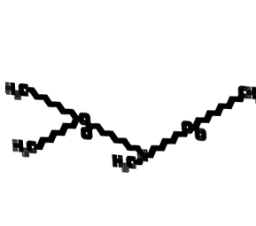 CCCCCCCCCC(=O)OCCCCCCCN(CC)CCCCCCCC(=O)OC(CCCCCCCC)CCCCCCCC